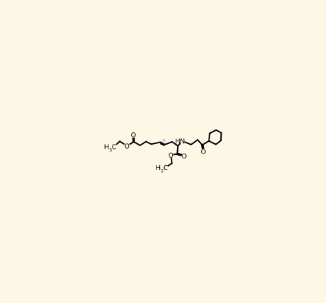 CCOC(=O)CCC/C=C/CC(NCCC(=O)C1CCCCC1)C(=O)OCC